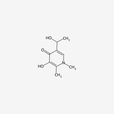 Cc1c(O)c(=O)c(C(C)O)cn1C